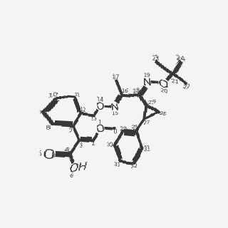 CO/C=C(/C(=O)O)c1ccccc1CO/N=C(C)/C(=N/OC(C)(C)C)C1CC1c1ccccc1